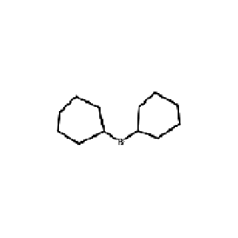 [B](C1CCCCC1)C1CCCCC1